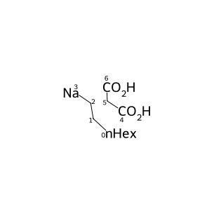 CCCCCCC[CH2][Na].O=C(O)CC(=O)O